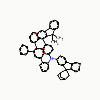 CC1(C)c2ccccc2-c2cccc(-c3ccc(N(c4ccc5c(c4)C4(CC6CCC4C6)c4ccccc4-5)c4ccccc4-c4ccc(-c5ccccc5)c(-c5ccccc5)c4)cc3)c21